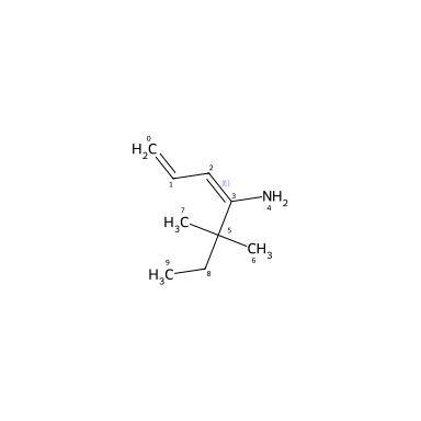 C=C/C=C(/N)C(C)(C)CC